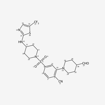 N#Cc1ccc(S(=O)(=O)N2CCC(Nc3ncc(C(F)(F)F)s3)CC2)cc1N1CCC(C=O)CC1